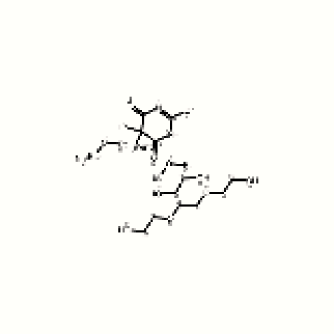 CCCC(C)C1(CC)C(=O)N=C([O-])NC1=O.CCOCC.CCOCC.OCCO.OCCOCCOCCO.[Na+]